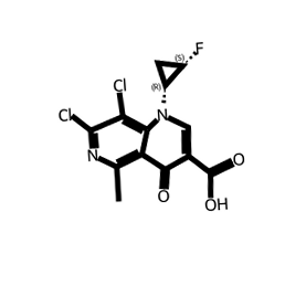 Cc1nc(Cl)c(Cl)c2c1c(=O)c(C(=O)O)cn2[C@@H]1C[C@@H]1F